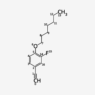 C#Cc1ccc(OCCCCCCC)c(F)c1